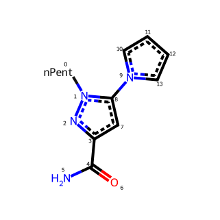 CCCCCn1nc(C(N)=O)cc1-n1cccc1